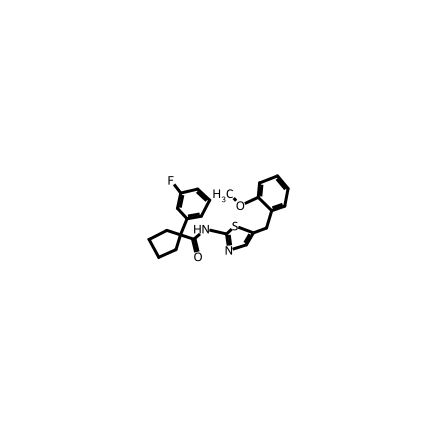 COc1ccccc1Cc1cnc(NC(=O)C2(c3cccc(F)c3)CCCC2)s1